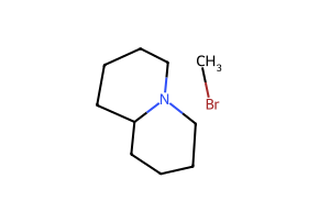 C1CCN2CCCCC2C1.CBr